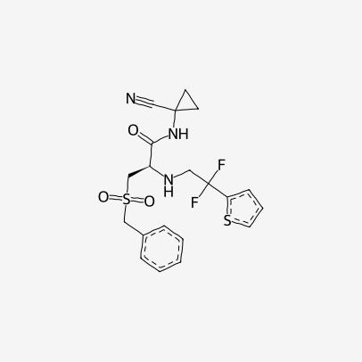 N#CC1(NC(=O)[C@H](CS(=O)(=O)Cc2ccccc2)NCC(F)(F)c2cccs2)CC1